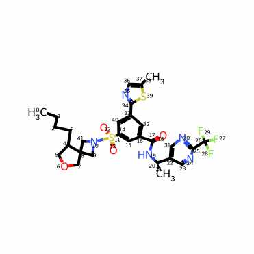 CCCCC1COCC12CN(S(=O)(=O)c1cc(C(=O)N[C@H](C)c3cnc(C(F)(F)F)nc3)cc(-c3ncc(C)s3)c1)C2